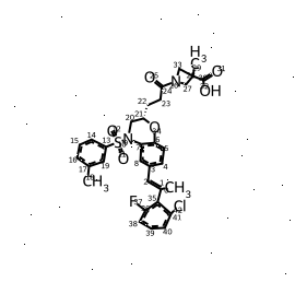 C/C(=C\c1ccc2c(c1)N(S(=O)(=O)c1cccc(C)c1)C[C@H](CCC(=O)N1CC(C)(C(=O)O)C1)O2)c1c(F)cccc1Cl